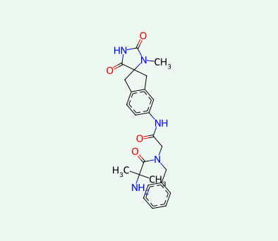 CN1C(=O)NC(=O)C12Cc1ccc(NC(=O)CN(Cc3ccccc3)C(=O)C(C)(C)N)cc1C2